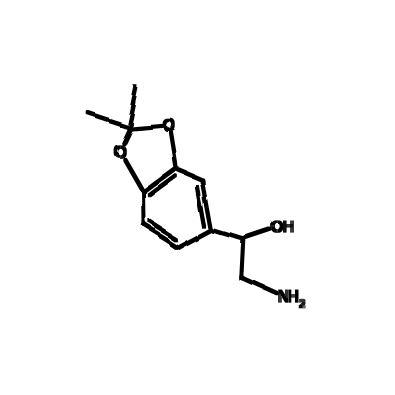 CC1(C)Oc2ccc(C(O)CN)cc2O1